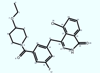 CCOC1CCN(C(=O)c2cc(F)cc(Cc3n[nH]c(=O)c4cccc(Cl)c34)c2)CC1